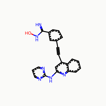 N=C(NO)c1cccc(C#Cc2cc(Nc3ncccn3)nc3ccccc23)c1